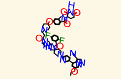 CCOc1cc(-c2ccc(N3CCC(CN4CCN(C(=O)CCN5CCC(Oc6ccc7c(c6)CN(C6CCC(=O)NC6=O)C7=O)CC5)CC4)(NC(=O)c4cc(F)ccc4F)CC3)nc2)c2c(C#N)cnn2c1